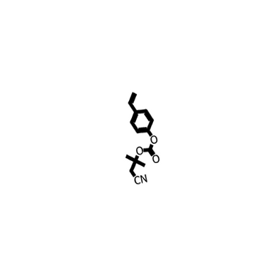 C=Cc1ccc(OC(=O)OC(C)(C)CC#N)cc1